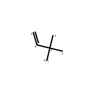 [C]C(C)(C)C=C